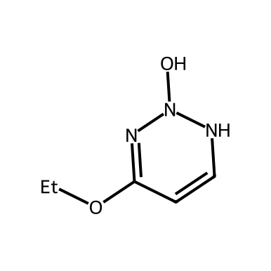 CCOC1=NN(O)NC=C1